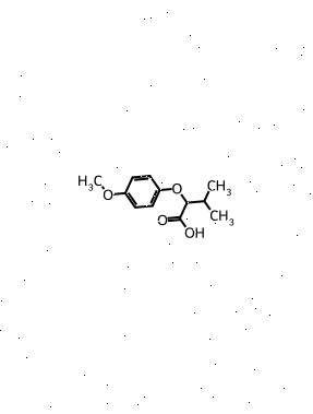 COc1ccc(OC(C(=O)O)C(C)C)cc1